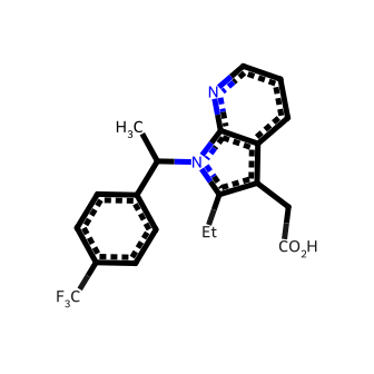 CCc1c(CC(=O)O)c2cccnc2n1C(C)c1ccc(C(F)(F)F)cc1